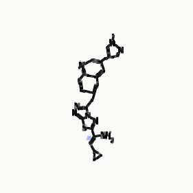 Cn1cc(-c2cnc3ccc(Cc4nnc5sc(/C(N)=C/C6CC6)nn45)cc3c2)cn1